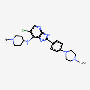 CSN1CCN(c2ccc(-c3nc4c(NC5CCN(C(C)C)CC5)c(Cl)cnc4[nH]3)cc2)CC1